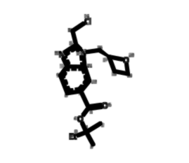 CCC(C)(C)OC(=O)c1ccc2nc(CCl)n(C[C@@H]3CCO3)c2c1